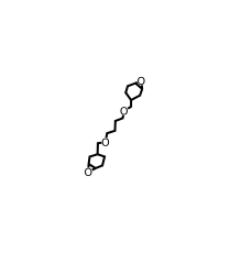 C(CCOCC1CCC2OC2C1)COCC1CCC2OC2C1